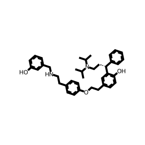 CC(C)N(CC[C@H](c1ccccc1)c1cc(CCOc2ccc(CCNCc3cccc(O)c3)cc2)ccc1O)C(C)C